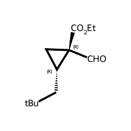 CCOC(=O)[C@]1(C=O)C[C@H]1CC(C)(C)C